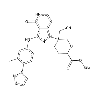 Cc1cc(Nc2nn(C3(CC#N)CCC(C(=O)OC(C)(C)C)OC3)c3cc[nH]c(=O)c23)ccc1-n1cccn1